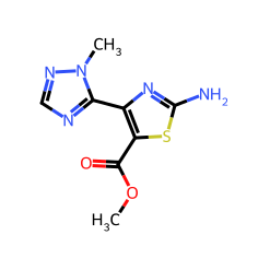 COC(=O)c1sc(N)nc1-c1ncnn1C